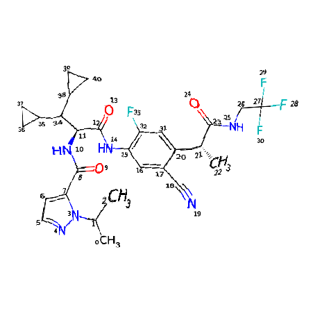 CC(C)n1nccc1C(=O)N[C@H](C(=O)Nc1cc(C#N)c([C@@H](C)C(=O)NCC(F)(F)F)cc1F)C(C1CC1)C1CC1